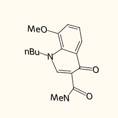 CCCCn1cc(C(=O)NC)c(=O)c2cccc(OC)c21